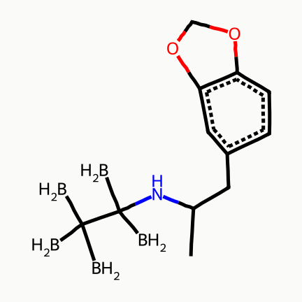 BC(B)(B)C(B)(B)NC(C)Cc1ccc2c(c1)OCO2